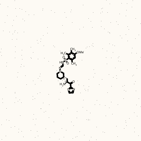 COc1cc(C)c(S(=O)(=O)NC=NN2CCC[C@@H](C[C@H](N)C(=O)c3nccs3)C2)c(C)c1C